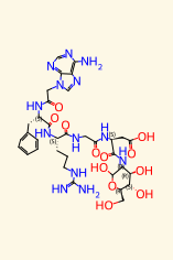 N=C(N)NCCC[C@H](NC(=O)[C@H](Cc1ccccc1)NC(=O)Cn1cnc2c(N)ncnc21)C(=O)NCC(=O)N[C@@H](CC(=O)O)C(=O)N[C@H]1C(O)O[C@H](CO)[C@@H](O)[C@@H]1O